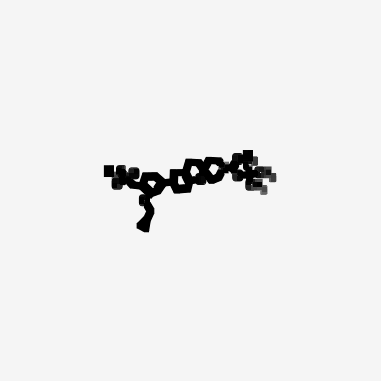 CC(C)(C)OC(=O)N1CCC2(CCc3cc(-c4ccc(CS(C)(=O)=O)c(OCC5CC5)c4)ccc3O2)CC1